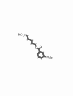 COc1cccc(C(=O)OCCCCCC(=O)O)c1